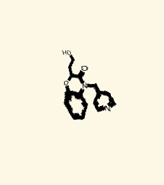 O=C1C(CCO)Oc2ccccc2N1Cc1ccncc1